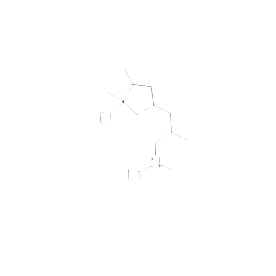 CCN(C)CC(C)CC1CC(C)C(C)(CC)C1